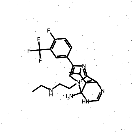 CCNCC[N+]12C=C(c3ccc(F)c(C(F)(F)F)c3)N=C1C1=C(C(C)C)C2(N)NC=N1